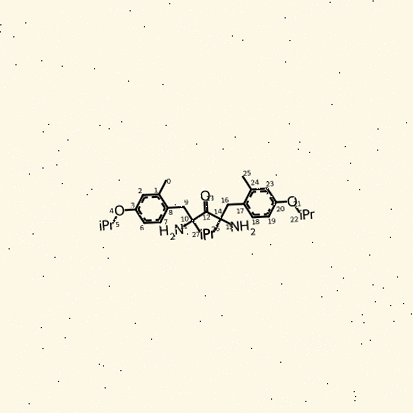 Cc1cc(OC(C)C)ccc1CC(N)(C(=O)C(N)(Cc1ccc(OC(C)C)cc1C)C(C)C)C(C)C